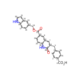 O=C(O)c1ccc(Cc2cc3cc(C(=O)OCc4ccc5[nH]ccc5c4)ccc3[nH]c2=O)cc1